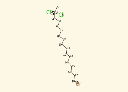 C[Si](Cl)(Cl)CCCCCCCCCCCCCCCBr